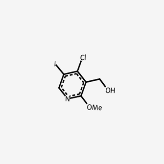 COc1ncc(I)c(Cl)c1CO